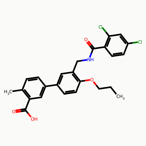 CCCOc1ccc(-c2ccc(C)c(C(=O)O)c2)cc1CNC(=O)c1ccc(Cl)cc1Cl